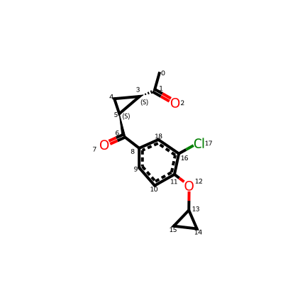 CC(=O)[C@H]1C[C@@H]1C(=O)c1ccc(OC2CC2)c(Cl)c1